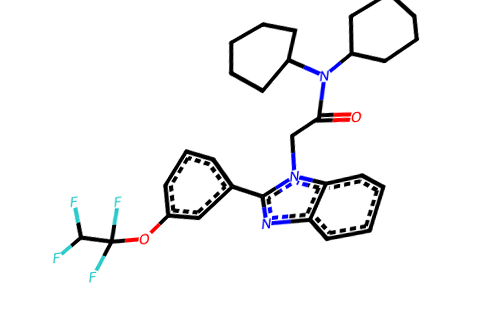 O=C(Cn1c(-c2cccc(OC(F)(F)C(F)F)c2)nc2ccccc21)N(C1CCCCC1)C1CCCCC1